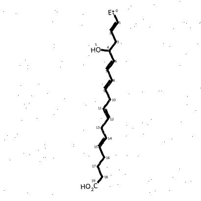 CCC=CCC(O)C=CC=CCC=CCC=CCCCC(=O)O